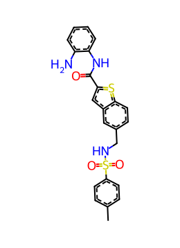 Cc1ccc(S(=O)(=O)NCc2ccc3sc(C(=O)Nc4ccccc4N)cc3c2)cc1